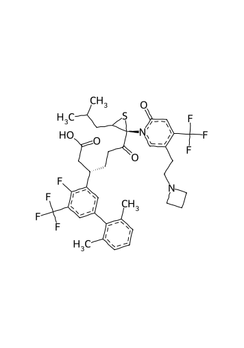 Cc1cccc(C)c1-c1cc([C@@H](CCC(=O)[C@@]2(n3cc(CCN4CCC4)c(C(F)(F)F)cc3=O)SC2CC(C)C)CC(=O)O)c(F)c(C(F)(F)F)c1